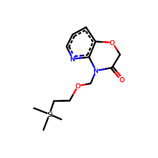 C[Si](C)(C)CCOCN1C(=O)COc2cccnc21